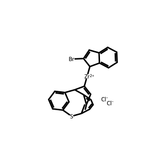 BrC1=Cc2ccccc2[CH]1[Zr+2][C]1=Cc2c3cccc2C1c1cccc(c1)S3.[Cl-].[Cl-]